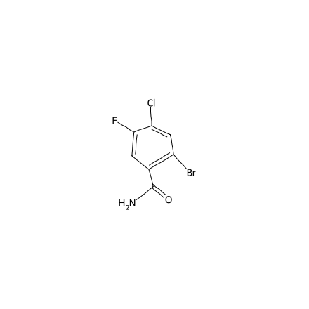 NC(=O)c1cc(F)c(Cl)cc1Br